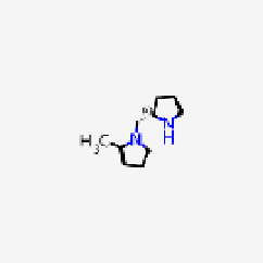 CC1CCCN1C[C@@H]1CCCN1